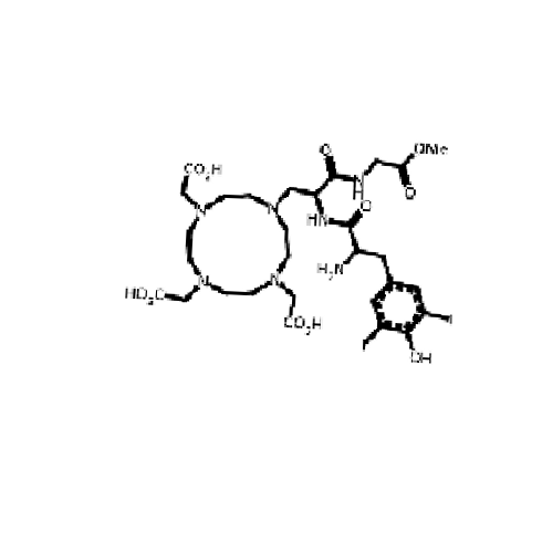 COC(=O)CNC(=O)C(CN1CCN(CC(=O)O)CCN(CC(=O)O)CCN(CC(=O)O)CC1)NC(=O)C(N)Cc1cc(I)c(O)c(I)c1